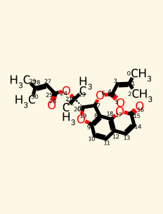 CC(C)=CC(=O)OC1c2c(ccc3ccc(=O)oc23)O[C@@H]1C(C)(C)OC(=O)C=C(C)C